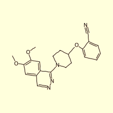 COc1cc2cnnc(N3CCC(Oc4ccccc4C#N)CC3)c2cc1OC